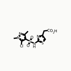 Cc1nn(C)c(Cl)c1S(=O)(=O)Nc1nc(CC(=O)O)cs1